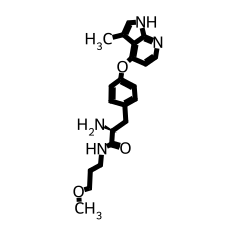 COCCCNC(=O)[C@@H](N)Cc1ccc(Oc2ccnc3[nH]cc(C)c23)cc1